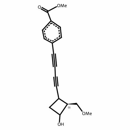 COC[C@H]1C(O)CC1C#CC#Cc1ccc(C(=O)OC)cc1